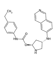 CCc1ccc(NC(=O)O[C@H]2C[C@H](Nc3ccc4cnccc4c3)CN2)cc1